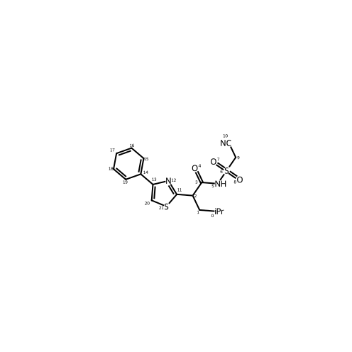 CC(C)CC(C(=O)NS(=O)(=O)CC#N)c1nc(-c2ccccc2)cs1